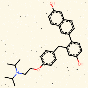 CC(C)N(CCOc1ccc(Cc2cc(O)ccc2-c2ccc3cc(O)ccc3c2)cc1)C(C)C